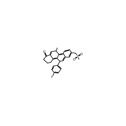 CC1C=C2C(=O)CCCC2=C2C1=c1ccc(CS(C)(=O)=O)cc1=CC2c1ccc(F)cc1